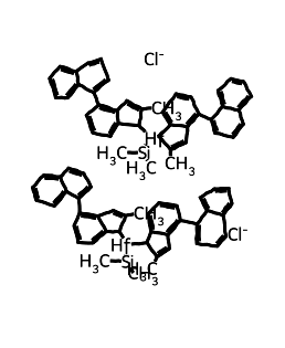 CC1=Cc2c(-c3cccc4ccccc34)cccc2[CH]1[Hf]([CH]1C(C)=Cc2c(-c3cccc4ccccc34)cccc21)=[Si](C)C.CC1=Cc2c(-c3cccc4ccccc34)cccc2[CH]1[Hf]([CH]1C(C)=Cc2c(-c3cccc4ccccc34)cccc21)=[Si](C)C.[Cl-].[Cl-]